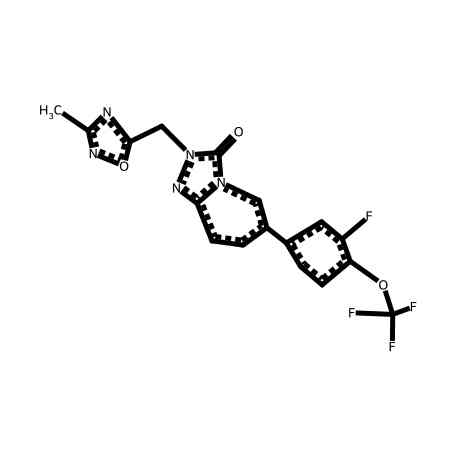 Cc1noc(Cn2nc3ccc(-c4ccc(OC(F)(F)F)c(F)c4)cn3c2=O)n1